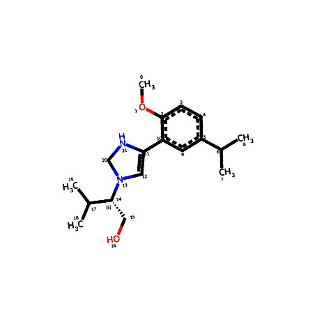 COc1ccc(C(C)C)cc1C1=CN([C@H](CO)C(C)C)CN1